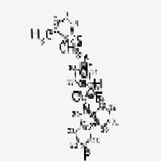 Cc1cccc(SCC[N+]23CCC(CC2)[C@@H](OC(=O)N(Cc2ccc(F)cc2)c2ccccc2F)C3)c1C